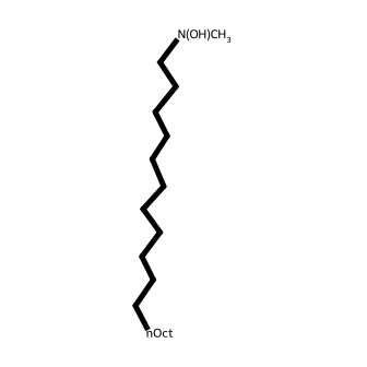 CCCCCCCCCCCCCCCCCCCN(C)O